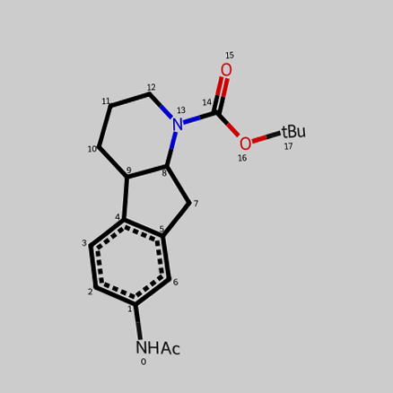 CC(=O)Nc1ccc2c(c1)CC1C2CCCN1C(=O)OC(C)(C)C